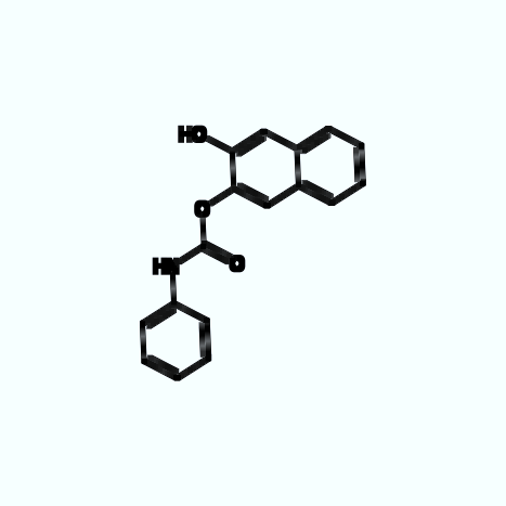 O=C(Nc1ccccc1)Oc1cc2ccccc2cc1O